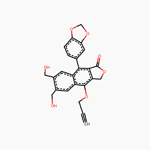 C#CCOc1c2c(c(-c3ccc4c(c3)OCO4)c3cc(CO)c(CO)cc13)C(=O)OC2